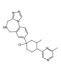 Cc1cncc(C2CCC(Cl)(c3ccc4c(c3)CNCc3nncn3-4)CC2C)n1